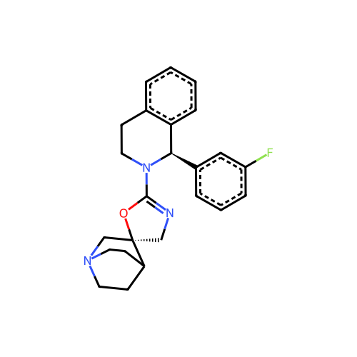 Fc1cccc([C@@H]2c3ccccc3CCN2C2=NC[C@]3(CN4CCC3CC4)O2)c1